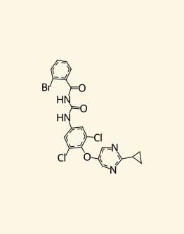 O=C(NC(=O)c1ccccc1Br)Nc1cc(Cl)c(Oc2cnc(C3CC3)nc2)c(Cl)c1